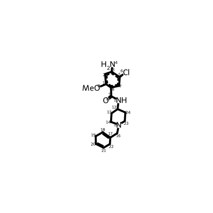 COc1cc(N)c(Cl)cc1C(=O)NC1CCN(CC2=CCC=CC2)CC1